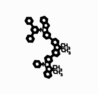 CC1(C)c2ccc(-c3ccc4c(c3)C3Cc5ccccc5C3N4c3cc(-c4ccccc4)cc(-c4ccccc4)c3)cc2-c2cc(-c3ccc4c(c3)C3C(c5ccccc5C3(C)C)N4c3ccccc3)ccc21